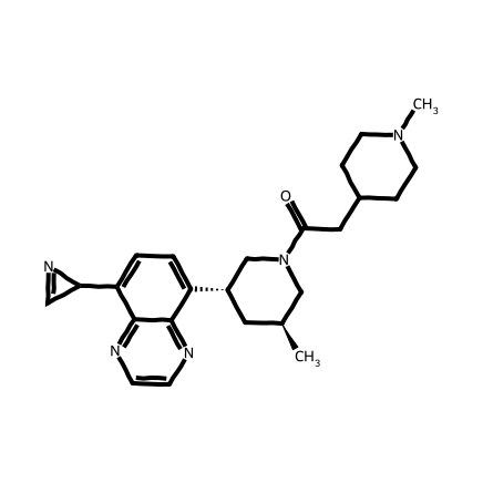 C[C@H]1C[C@H](c2ccc(C3C=N3)c3nccnc23)CN(C(=O)CC2CCN(C)CC2)C1